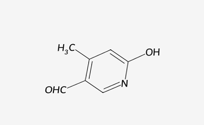 Cc1cc(O)ncc1C=O